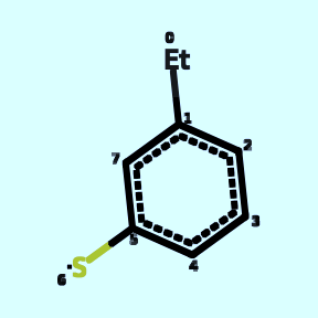 CCc1cccc([S])c1